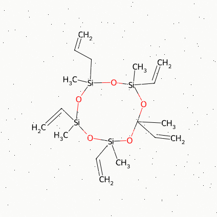 C=CC[Si]1(C)O[Si](C)(C=C)OC(C)(C=C)O[Si](C)(C=C)O[Si](C)(C=C)O1